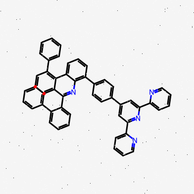 c1ccc(-c2ccccc2-c2nc3c(-c4ccc(-c5cc(-c6ccccn6)nc(-c6ccccn6)c5)cc4)cccc3c3c(-c4ccccc4)cccc23)cc1